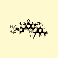 Cc1nc(N[C@H](C)c2cccc(C(F)F)c2F)c2cc(C3=CCN(C(C)C)C3)n(C)c(=O)c2n1